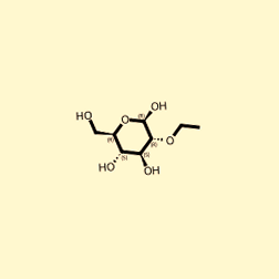 CCO[C@@H]1[C@@H](O)[C@H](O)[C@@H](CO)O[C@H]1O